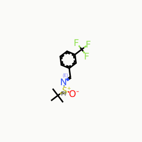 CC(C)(C)[S@+]([O-])/N=C/c1cccc(C(F)(F)F)c1